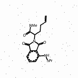 C=CCCC(C(=O)NC)N1C(=O)c2cccc(NCCC)c2C1=O